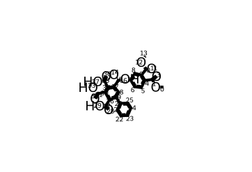 COC(=O)c1ccccc1C(=O)OC.O=C(O)c1cc(-c2ccccc2)c(C(=O)O)c(C(=O)O)c1C(=O)O